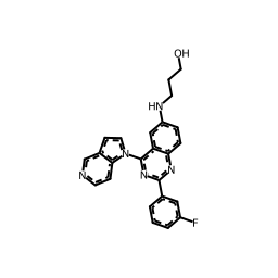 OCCCNc1ccc2nc(-c3cccc(F)c3)nc(-n3ccc4cnccc43)c2c1